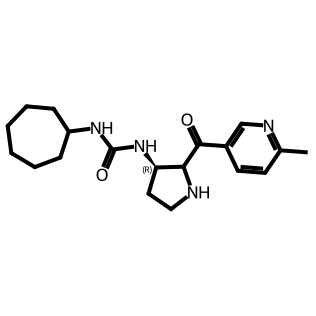 Cc1ccc(C(=O)C2NCC[C@H]2NC(=O)NC2CCCCCC2)cn1